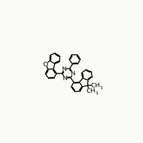 CC1(C)c2ccccc2-c2c(-c3nc(-c4ccccc4)nc(-c4cccc5oc6ccccc6c45)n3)cccc21